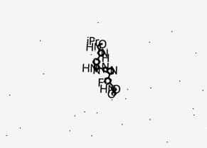 CC(C)C(=O)Nc1cncc(-c2ccc3[nH]nc(-c4cc5c(-c6cc(F)cc(CNS(C)(=O)=O)c6)cncc5[nH]4)c3c2)c1